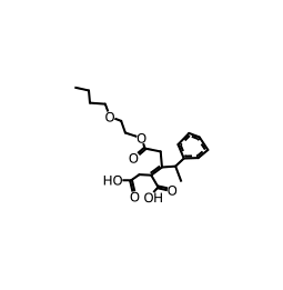 CCCCOCCOC(=O)CC(=C(CC(=O)O)C(=O)O)C(C)c1ccccc1